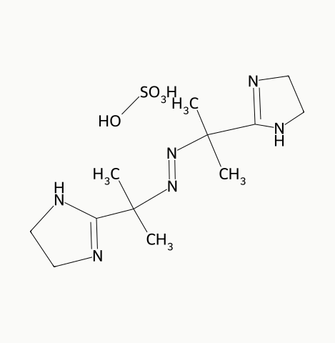 CC(C)(N=NC(C)(C)C1=NCCN1)C1=NCCN1.O=S(=O)(O)O